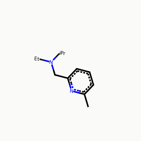 CCN(Cc1cccc(C)n1)C(C)C